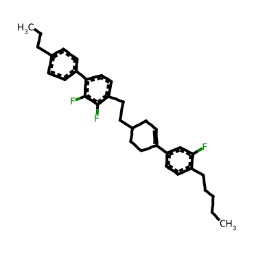 CCCCCc1ccc(C2=CCC(CCc3ccc(-c4ccc(CCC)cc4)c(F)c3F)CC2)cc1F